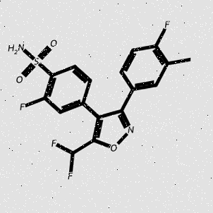 Cc1cc(-c2noc(C(F)F)c2-c2ccc(S(N)(=O)=O)c(F)c2)ccc1F